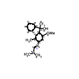 COc1cc(/N=C/N(C)C)c(C)cc1C(O)(c1ccccc1)C(F)(F)F